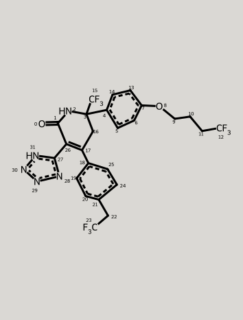 O=C1NC(c2ccc(OCCCC(F)(F)F)cc2)(C(F)(F)F)CC(c2ccc(CC(F)(F)F)cc2)=C1c1nnn[nH]1